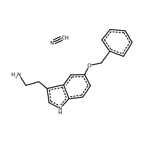 C#N.NCCc1c[nH]c2ccc(OCc3ccccc3)cc12